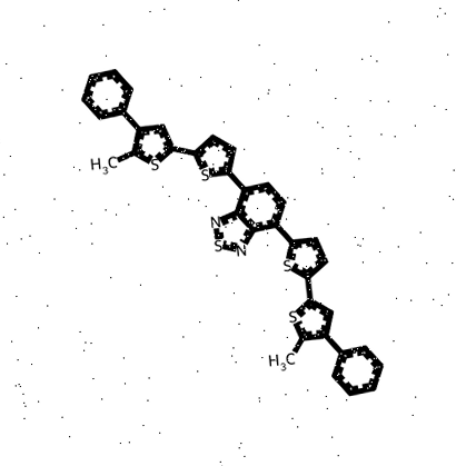 Cc1sc(-c2ccc(-c3ccc(-c4ccc(-c5cc(-c6ccccc6)c(C)s5)s4)c4nsnc34)s2)cc1-c1ccccc1